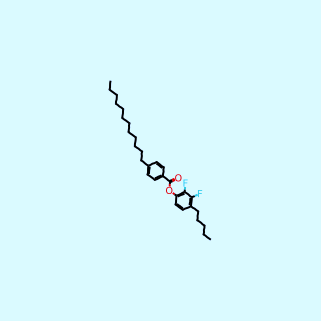 CCCCCCCCCCCCc1ccc(C(=O)Oc2ccc(CCCCC)c(F)c2F)cc1